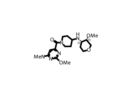 CNc1cc(C(=O)N2CCC(N[C@H]3CCOC[C@H]3OC)CC2)nc(OC)n1